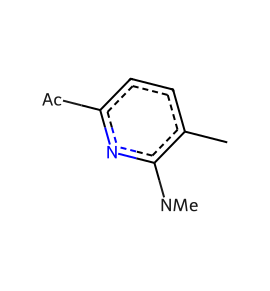 CNc1nc(C(C)=O)ccc1C